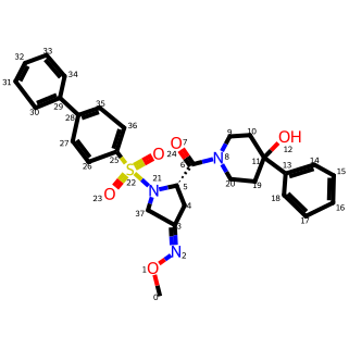 CON=C1C[C@@H](C(=O)N2CCC(O)(c3ccccc3)CC2)N(S(=O)(=O)c2ccc(-c3ccccc3)cc2)C1